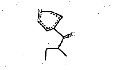 CCC(C)C(=O)c1ccncc1